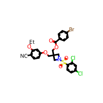 CCOc1cc(OCC2(COC(=O)c3ccc(Br)cc3)CN(S(=O)(=O)c3ccc(Cl)cc3Cl)C2)ccc1C#N